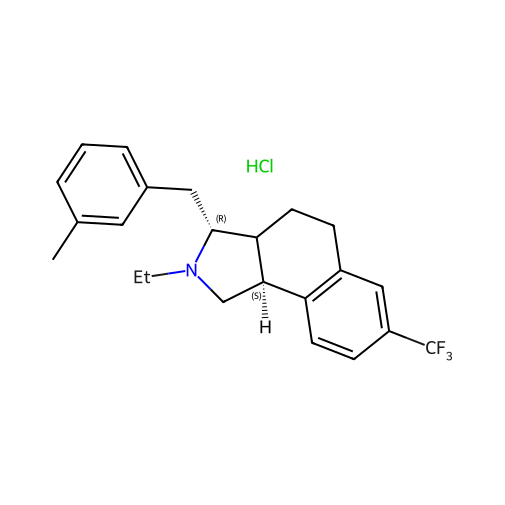 CCN1C[C@@H]2c3ccc(C(F)(F)F)cc3CCC2[C@H]1Cc1cccc(C)c1.Cl